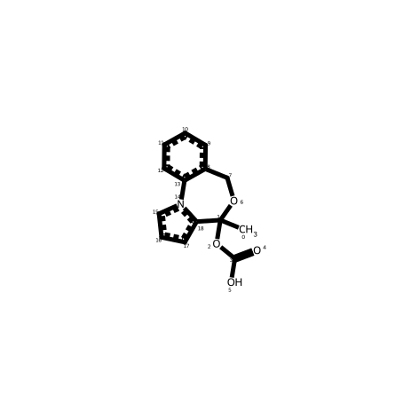 CC1(OC(=O)O)OCc2ccccc2-n2cccc21